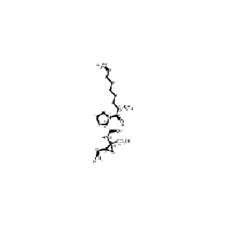 C=CCCCCC[C@H](C)C(=O)N1CCC[C@H]1C(=O)N[C@]1(C(=O)OCC)CC1C=C